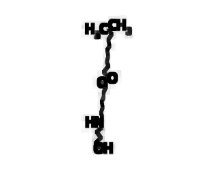 CC(C)CCCCCCCCC(=O)OCCCCCCCNCCCCO